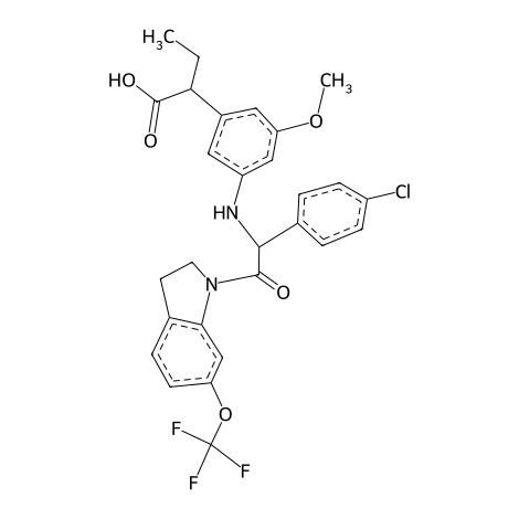 CCC(C(=O)O)c1cc(NC(C(=O)N2CCc3ccc(OC(F)(F)F)cc32)c2ccc(Cl)cc2)cc(OC)c1